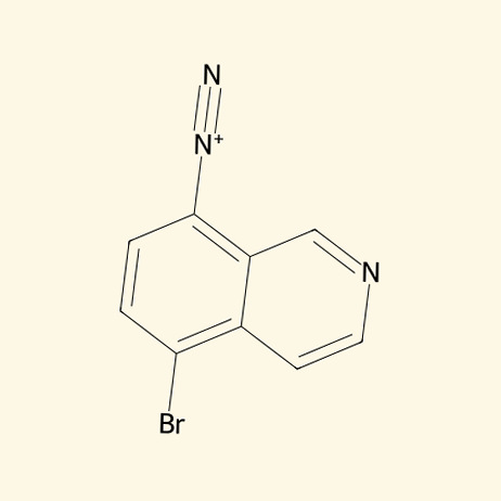 N#[N+]c1ccc(Br)c2ccncc12